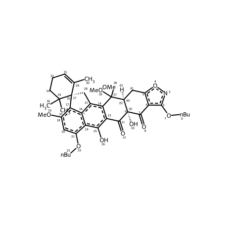 CCCCOc1noc2c1C(=O)[C@@]1(O)C(=O)c3c(c4c5c(c(OC)cc(OCCCC)c5c3O)[C@]3(C4)C(C)=CCCC3(C)C)C(OC)(OC)[C@H]1C2